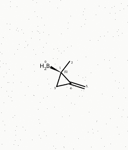 B[C@]1(C)CC1=C